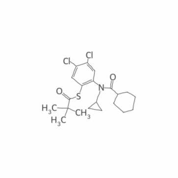 CC(C)(C)C(=O)Sc1cc(Cl)c(Cl)cc1N(C(=O)C1CCCCC1)C1CC1